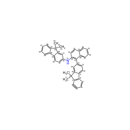 CC1(C)c2c#cccc2-c2ccc(-c3c(Nc4ccc5c(c4)C(C)(C)c4ccccc4-5)ccc4ccccc34)cc21